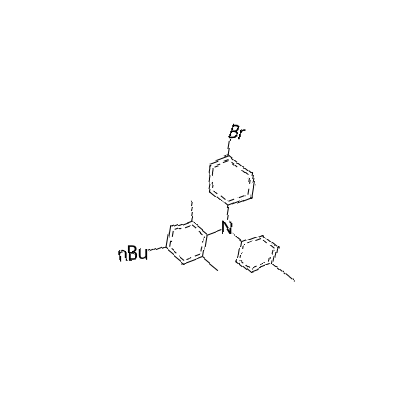 CCCCc1cc(C)c(N(c2ccc(C)cc2)c2ccc(Br)cc2)c(C)c1